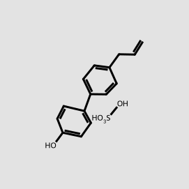 C=CCc1ccc(-c2ccc(O)cc2)cc1.O=S(=O)(O)O